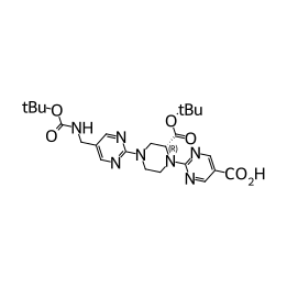 CC(C)(C)OC(=O)NCc1cnc(N2CCN(c3ncc(C(=O)O)cn3)[C@@H](C(=O)OC(C)(C)C)C2)nc1